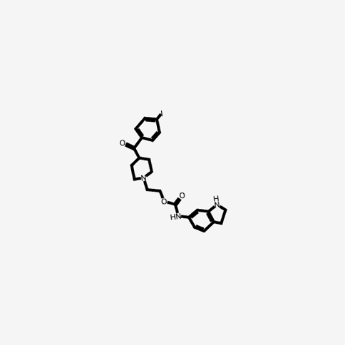 O=C(Nc1ccc2c(c1)NCC2)OCCN1CCC(C(=O)c2ccc(I)cc2)CC1